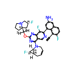 [2H]C([2H])(Oc1nc(N2CC=CC[C@H]3[C@H](F)[C@H]32)c2cnc(-c3cc(N)cc4ccc(F)c(C#C)c34)c(F)c2n1)[C@@]12CCCN1C[C@H](F)C2